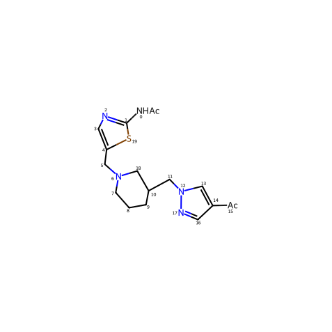 CC(=O)Nc1ncc(CN2CCCC(Cn3cc(C(C)=O)cn3)C2)s1